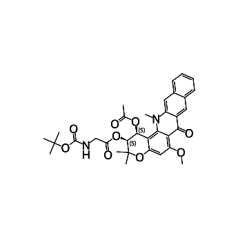 COc1cc2c(c3c1c(=O)c1cc4ccccc4cc1n3C)[C@H](OC(C)=O)[C@H](OC(=O)CNC(=O)OC(C)(C)C)C(C)(C)O2